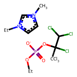 CCOP(=O)([O-])OC(Cl)(C(Cl)Cl)C(Cl)(Cl)Cl.CC[n+]1ccn(C)c1